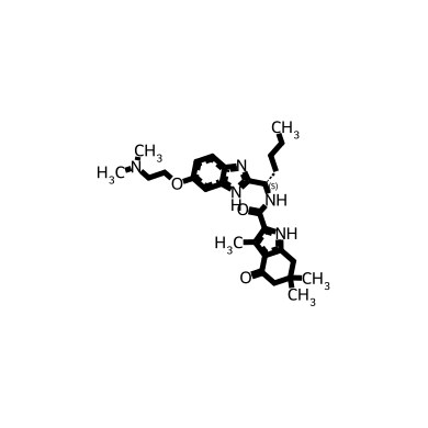 CCCC[C@H](NC(=O)c1[nH]c2c(c1C)C(=O)CC(C)(C)C2)c1nc2ccc(OCCN(C)C)cc2[nH]1